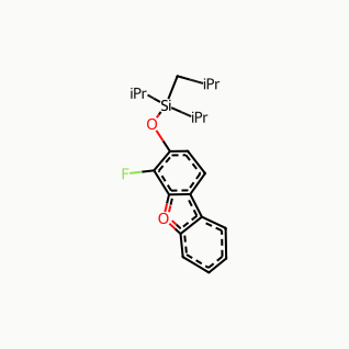 CC(C)C[Si](Oc1ccc2c(oc3ccccc32)c1F)(C(C)C)C(C)C